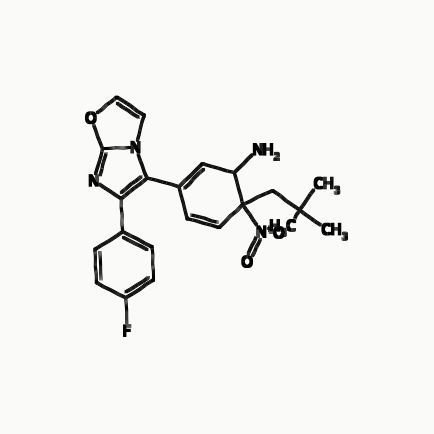 CC(C)(C)CC1([N+](=O)[O-])C=CC(c2c(-c3ccc(F)cc3)nc3occn23)=CC1N